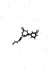 CCCC#CN1CC(=O)CC(c2cccc(Cl)c2)=N1